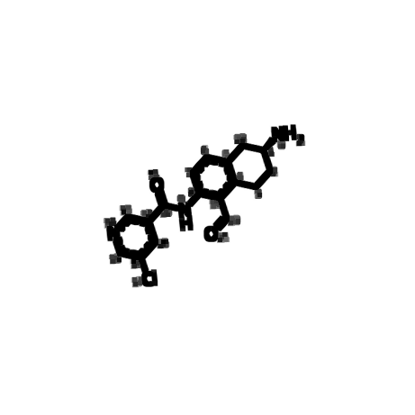 N[C@H]1CCc2c(ccc(NC(=O)c3cncc(Cl)c3)c2C=O)C1